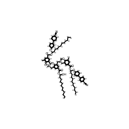 CCCCCCCCCCCC(O)OC(=O)c1cc(CN(C)Cc2cc(C(=O)OC(CCCCCCCCCCC)Oc3ccc(-c4ccc(C#N)cc4)cc3)cc(C)c2O)c(O)c(CN(C)Cc2cc(C(=O)OC(CCCCCCCCCCC)Oc3ccc(-c4ccc(C#N)cc4)cc3)cc(C)c2O)c1